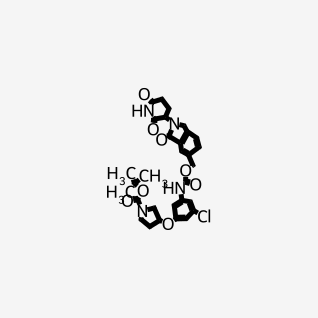 CC(C)(C)OC(=O)N1CCC(Oc2cc(Cl)cc(NC(=O)OCc3ccc4c(c3)C(=O)N(C3CCC(=O)NC3=O)C4)c2)C1